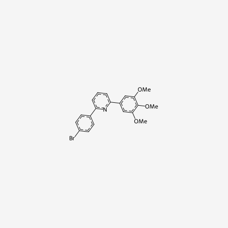 COc1cc(-c2cccc(-c3ccc(Br)cc3)n2)cc(OC)c1OC